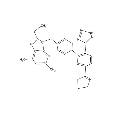 CCc1nc2c(C)cc(C)nc2n1Cc1ccc(-c2cc(C3=NCCC3)ccc2-c2nn[nH]n2)cc1